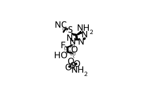 C[C@@H](C#N)Sc1nn([C@@H]2O[C@H](COS(N)(=O)=O)[C@@H](O)[C@@H]2F)c2ncnc(N)c12